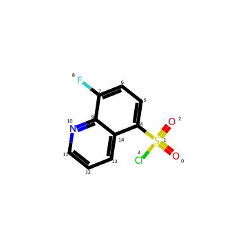 O=S(=O)(Cl)c1ccc(F)c2ncccc12